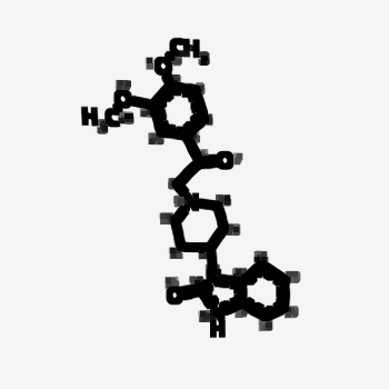 COc1ccc(C(=O)CN2CCC(n3c(=O)[nH]c4ccccc43)CC2)cc1OC